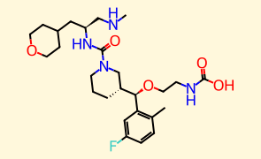 CNC[C@H](CC1CCOCC1)NC(=O)N1CCC[C@@H]([C@@H](OCCNC(=O)O)c2cc(F)ccc2C)C1